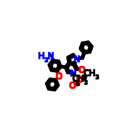 CCOC=O.Cn1cc(-c2cc(N)ccc2Oc2ccccc2)c2ccn(Cc3ccccc3)c2c1=O